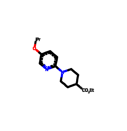 CCOC(=O)C1CCN(c2ccc(OC(C)C)cn2)CC1